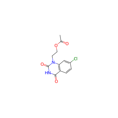 CC(=O)OCCn1c(=O)[nH]c(=O)c2ccc(Cl)cc21